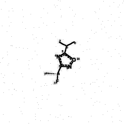 CC(C)c1nc([C@@H](C)F)no1